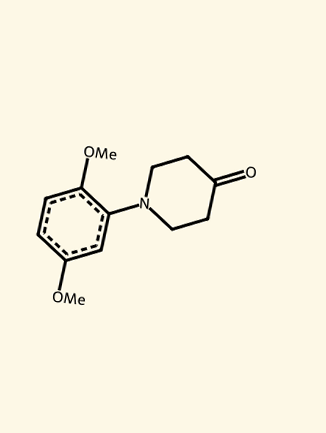 COc1ccc(OC)c(N2CCC(=O)CC2)c1